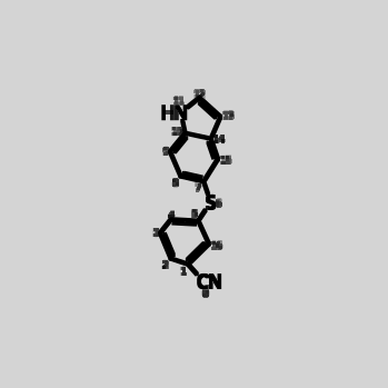 N#Cc1cccc(Sc2ccc3[nH]ccc3c2)c1